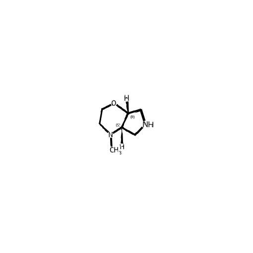 CN1CCO[C@@H]2CNC[C@@H]21